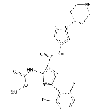 CC(C)(C)OC(=O)Nc1sc(-c2c(F)cccc2F)nc1C(=O)Nc1cnn(C2CCNCC2)c1